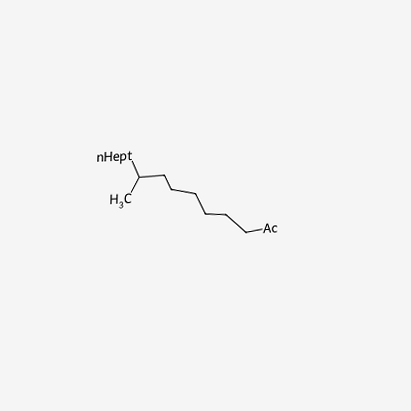 CCCCCCCC(C)CCCCCCC(C)=O